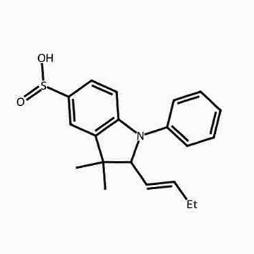 CC/C=C/C1N(c2ccccc2)c2ccc(S(=O)O)cc2C1(C)C